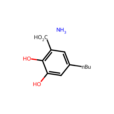 CCCCc1cc(O)c(O)c(C(=O)O)c1.N